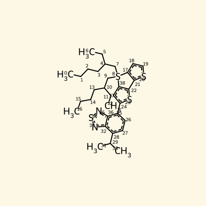 CCCCC(CC)CS1(CC(CC)CCCC)c2ccsc2-c2sc(-c3ccc(C(C)C)c4nsnc34)cc21